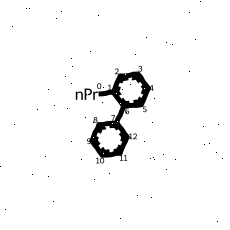 C[CH]Cc1ccccc1-c1ccccc1